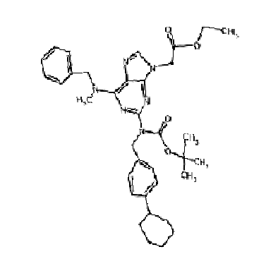 CCOC(=O)Cn1cnc2c(N(C)Cc3ccccc3)nc(N(Cc3ccc(C4CCCCC4)cc3)C(=O)OC(C)(C)C)nc21